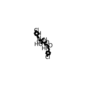 O=C(NCc1ccc(Cl)cc1)c1cc2c(O)c(C(=O)NCc3ccc(Cl)cc3)cnc2o1